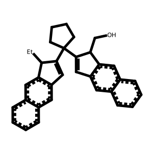 CCC1C(C2(C3=Cc4cc5ccccc5cc4C3CO)CCCC2)=Cc2cc3ccccc3cc21